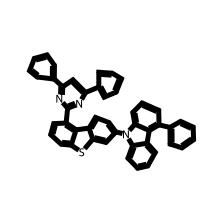 c1ccc(-c2cc(-c3ccccc3)nc(-c3cccc4sc5cc(-n6c7ccccc7c7c(-c8ccccc8)cccc76)ccc5c34)n2)cc1